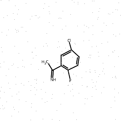 CC(=N)c1cc(Cl)ccc1F